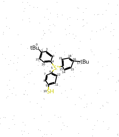 CC(C)(C)c1ccc([S+](c2ccc(S)cc2)c2ccc(C(C)(C)C)cc2)cc1